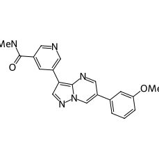 CNC(=O)c1cncc(-c2cnn3cc(-c4cccc(OC)c4)cnc23)c1